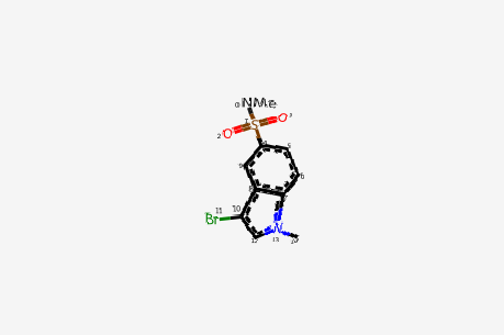 CNS(=O)(=O)c1ccc2c(c1)c(Br)cn2C